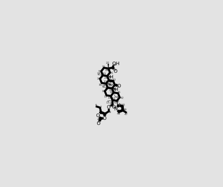 CCc1oc(=O)oc1COC(=O)[C@@]1(C)C2CC[C@]3(C)[C@H](C(=O)C=C4[C@@H]5C[C@@](C)(C(=O)O)CC[C@]5(C)CC[C@]43C)[C@@]2(C)CC[C@@H]1n1cc(C)cn1